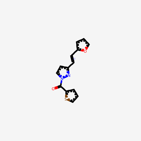 O=C(c1cccs1)n1ccc(/C=C/c2ccco2)n1